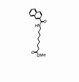 COC(=O)CCCCCCCNC(=O)c1ccc2ccccc2c1